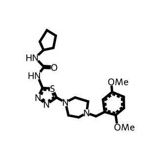 COc1ccc(OC)c(CN2CCN(c3nnc(NC(=O)NC4CCCC4)s3)CC2)c1